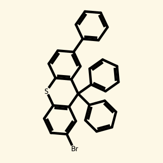 Brc1ccc2c(c1)C(c1ccccc1)(c1ccccc1)c1cc(-c3ccccc3)ccc1S2